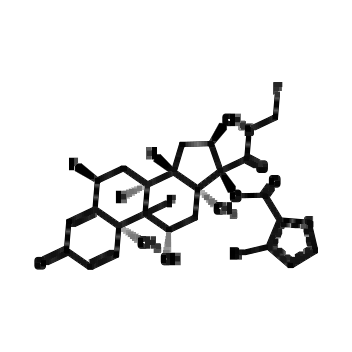 C[C@@H]1C[C@H]2[C@@H]3C[C@H](F)C4=CC(=O)C=C[C@]4(C)C3(F)[C@@H](O)C[C@]2(C)[C@@]1(OC(=O)c1sccc1Br)C(=O)SCF